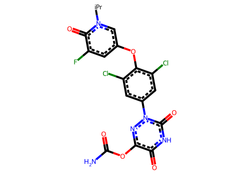 CC(C)n1cc(Oc2c(Cl)cc(-n3nc(OC(N)=O)c(=O)[nH]c3=O)cc2Cl)cc(F)c1=O